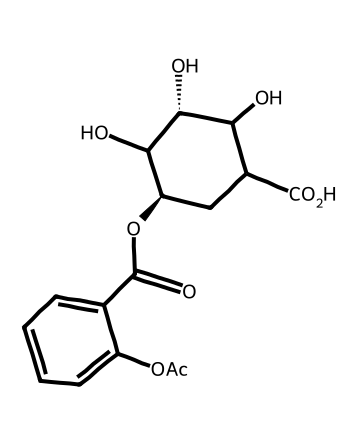 CC(=O)Oc1ccccc1C(=O)O[C@@H]1CC(C(=O)O)C(O)[C@@H](O)C1O